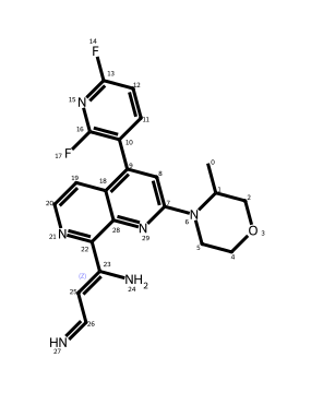 CC1COCCN1c1cc(-c2ccc(F)nc2F)c2ccnc(/C(N)=C/C=N)c2n1